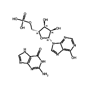 Nc1nc2nc[nH]c2c(=O)[nH]1.O=P(O)(O)OC[C@H]1O[C@@H](n2cnc3c(O)ncnc32)[C@H](O)[C@@H]1O